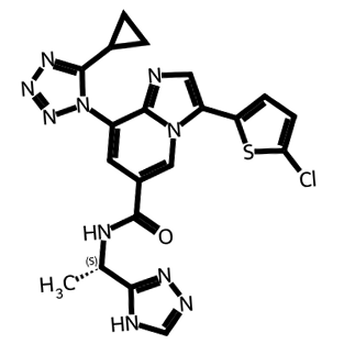 C[C@H](NC(=O)c1cc(-n2nnnc2C2CC2)c2ncc(-c3ccc(Cl)s3)n2c1)c1nnc[nH]1